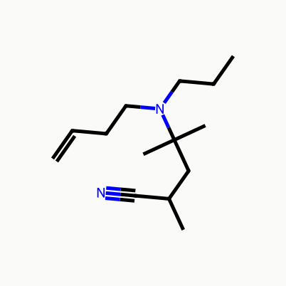 C=CCCN(CCC)C(C)(C)CC(C)C#N